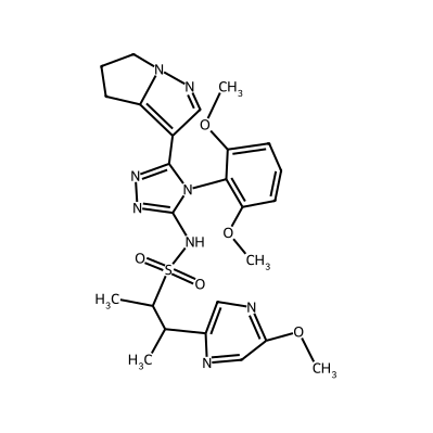 COc1cnc(C(C)C(C)S(=O)(=O)Nc2nnc(-c3cnn4c3CCC4)n2-c2c(OC)cccc2OC)cn1